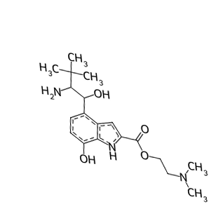 CN(C)CCOC(=O)c1cc2c(C(O)C(N)C(C)(C)C)ccc(O)c2[nH]1